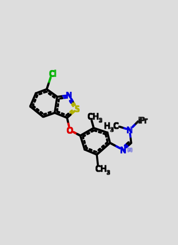 Cc1cc(Oc2snc3c(Cl)cccc23)c(C)cc1/N=C\N(C)C(C)C